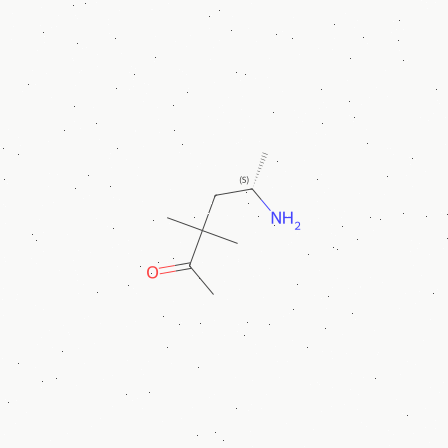 CC(=O)C(C)(C)C[C@H](C)N